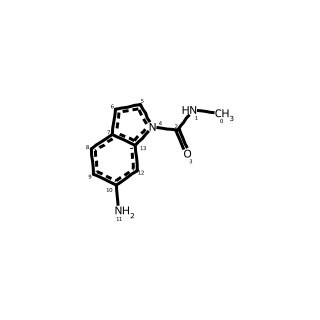 CNC(=O)n1ccc2ccc(N)cc21